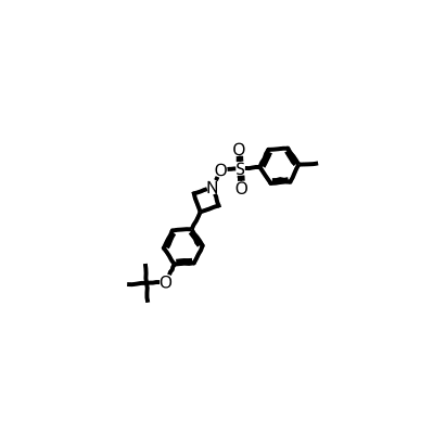 Cc1ccc(S(=O)(=O)ON2CC(c3ccc(OC(C)(C)C)cc3)C2)cc1